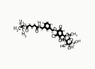 CO[C@H]1O[C@H](CO)[C@@H](O)[C@H](O)[C@H]1NC(=O)c1cc(Cl)c(OCc2cccc(CNC(=O)CCCC(=O)OC(C)(C)C)c2)c(Cl)c1C